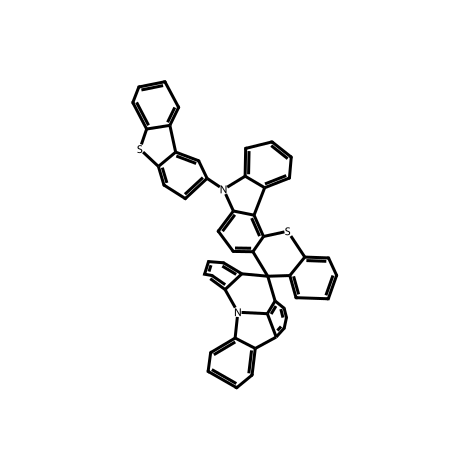 c1ccc2c(c1)Sc1c(ccc3c1c1ccccc1n3-c1ccc3sc4ccccc4c3c1)C21c2ccccc2-n2c3ccccc3c3cccc1c32